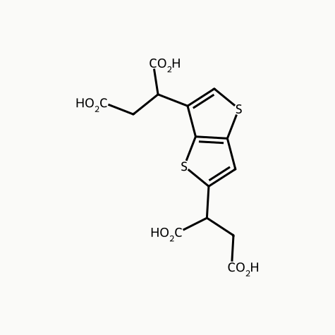 O=C(O)CC(C(=O)O)c1cc2scc(C(CC(=O)O)C(=O)O)c2s1